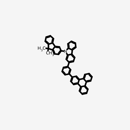 CC1(C)c2ccccc2-c2cc(-n3c4ccccc4c4ccc(-c5cccc(-c6ccc7c8ccccc8c8ccccc8c7c6)c5)cc43)ccc21